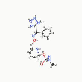 Cn1nnnc1C(=NOCc1cccc(OC(=O)NC(C)(C)C)n1)c1ccccc1